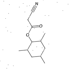 CC1CC(C)C(OC(=O)CC#N)C(C)C1